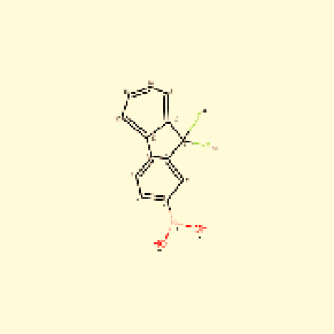 OB(O)c1ccc2c(c1)C(F)(F)c1ccccc1-2